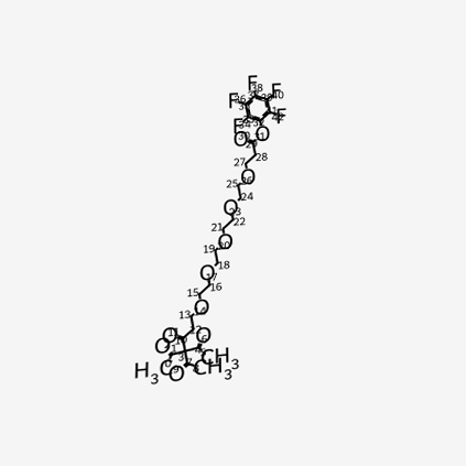 CC(=O)C(C(C)=O)(C(C)=O)C(=O)CCOCCOCCOCCOCCOCCC(=O)Oc1c(F)c(F)c(F)c(F)c1F